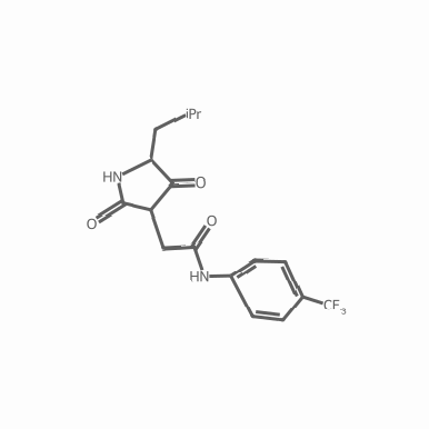 CC(C)CC1NC(=O)C(CC(=O)Nc2ccc(C(F)(F)F)cc2)C1=O